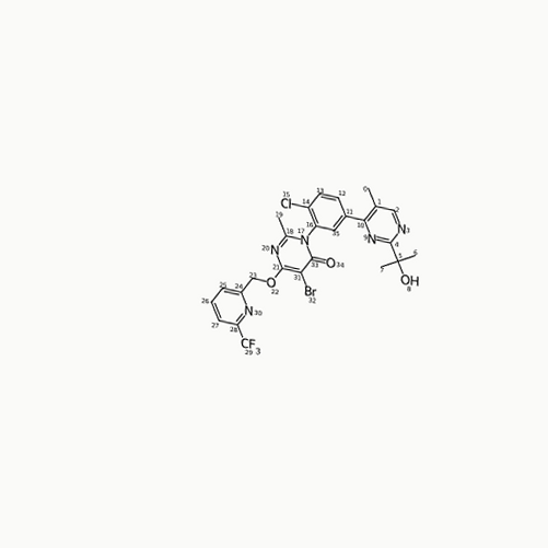 Cc1cnc(C(C)(C)O)nc1-c1ccc(Cl)c(-n2c(C)nc(OCc3cccc(C(F)(F)F)n3)c(Br)c2=O)c1